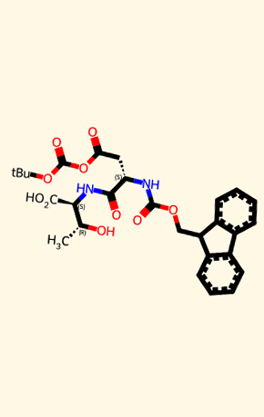 C[C@@H](O)[C@H](NC(=O)[C@H](CC(=O)OC(=O)OC(C)(C)C)NC(=O)OCC1c2ccccc2-c2ccccc21)C(=O)O